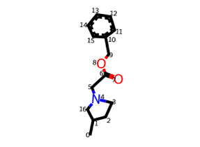 CC1CCN(CC(=O)OCc2ccccc2)C1